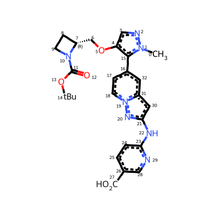 Cn1ncc(OC[C@H]2CCN2C(=O)OC(C)(C)C)c1-c1ccn2nc(Nc3ccc(C(=O)O)cn3)cc2c1